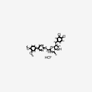 COc1ccc(-c2cnc(SCC(=O)NC(C)[C@@H]3C[C@@H](Cc4ccc(Cl)c(Cl)c4)CN3)nc2)cc1OC.Cl